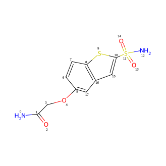 NC(=O)COc1ccc2sc(S(N)(=O)=O)cc2c1